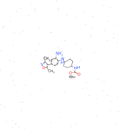 Cc1noc(C)c1-c1ccc(NC2CCC(NC(=O)OC(C)(C)C)CC2)c(N)c1